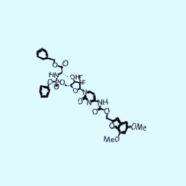 COc1cc(OC)c2oc(COC(=O)Nc3ccn(C4O[C@H](COP(=O)(N[C@@H](C)C(=O)OCc5ccccc5)Oc5ccccc5)[C@@H](O)C4(F)F)c(=O)n3)cc2c1